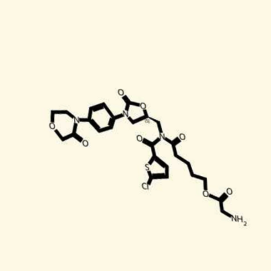 NCC(=O)OCCCCC(=O)N(C[C@H]1CN(c2ccc(N3CCOCC3=O)cc2)C(=O)O1)C(=O)c1ccc(Cl)s1